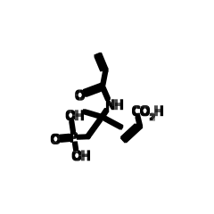 C=CC(=O)NC(C)(C)CP(=O)(O)O.C=CC(=O)O